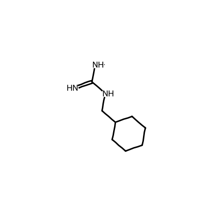 [NH]C(=N)NCC1CCCCC1